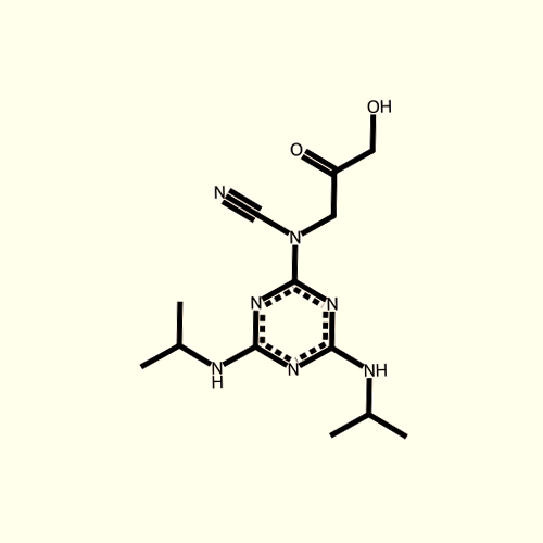 CC(C)Nc1nc(NC(C)C)nc(N(C#N)CC(=O)CO)n1